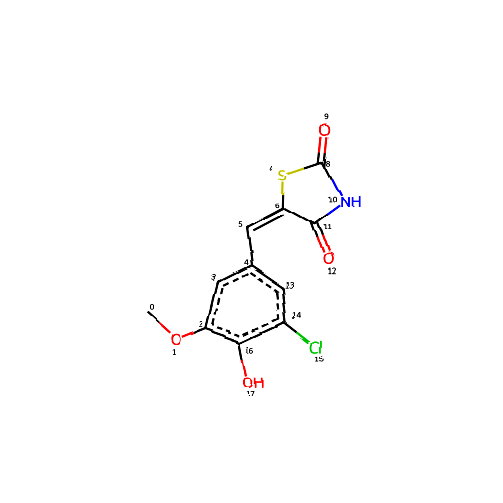 COc1cc(C=C2SC(=O)NC2=O)cc(Cl)c1O